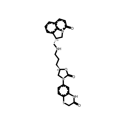 O=C1CSc2ccc(N3C[C@@H](CCCNC[C@H]4Cn5c(=O)ccc6cccc4c65)OC3=O)cc2N1